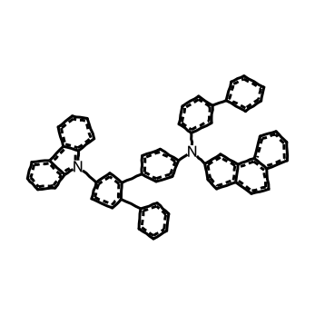 c1ccc(-c2cccc(N(c3ccc(-c4cc(-n5c6ccccc6c6ccccc65)ccc4-c4ccccc4)cc3)c3ccc4ccc5ccccc5c4c3)c2)cc1